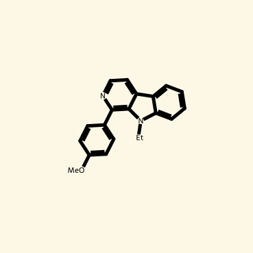 CCn1c2ccccc2c2ccnc(-c3ccc(OC)cc3)c21